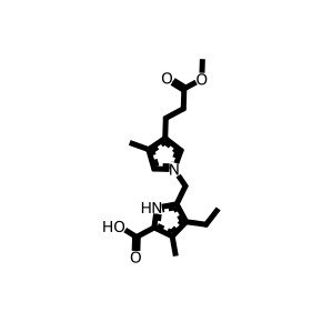 CCc1c(Cn2cc(C)c(CCC(=O)OC)c2)[nH]c(C(=O)O)c1C